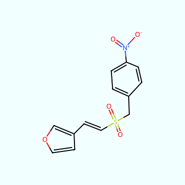 O=[N+]([O-])c1ccc(CS(=O)(=O)C=Cc2ccoc2)cc1